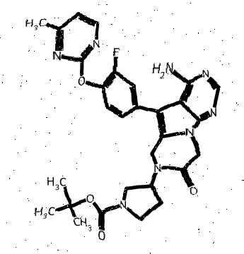 Cc1ccnc(Oc2ccc(-c3c4n(c5ncnc(N)c35)CC(=O)N(C3CCN(C(=O)OC(C)(C)C)C3)C4)cc2F)n1